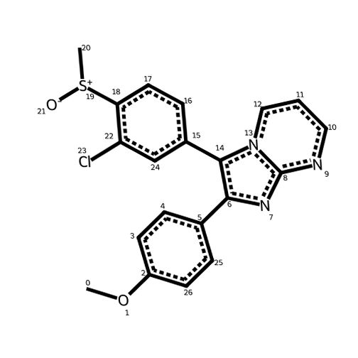 COc1ccc(-c2nc3ncccn3c2-c2ccc([S+](C)[O-])c(Cl)c2)cc1